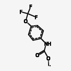 [CH2]OC(=O)Nc1ccc(OC(F)(F)F)cc1